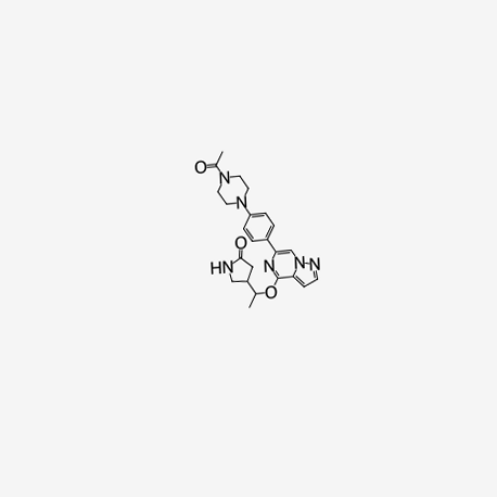 CC(=O)N1CCN(c2ccc(-c3cn4nccc4c(OC(C)C4CNC(=O)C4)n3)cc2)CC1